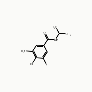 Cc1cc(C(=O)NC(C)C)cc(F)c1O